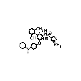 Cc1cccc(C)c1-c1cc(Oc2ccc(NC3CCCCC3)cc2)nc(NS(=O)(=O)c2cnn(C)c2)n1